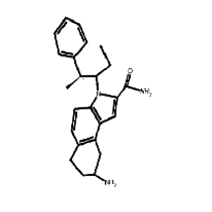 CCC([C@@H](C)c1ccccc1)n1c(C(N)=O)cc2c3c(ccc21)CCC(N)C3